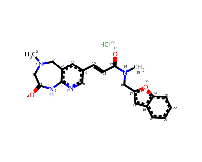 CN1CC(=O)Nc2ncc(C=CC(=O)N(C)Cc3cc4ccccc4o3)cc2C1.Cl